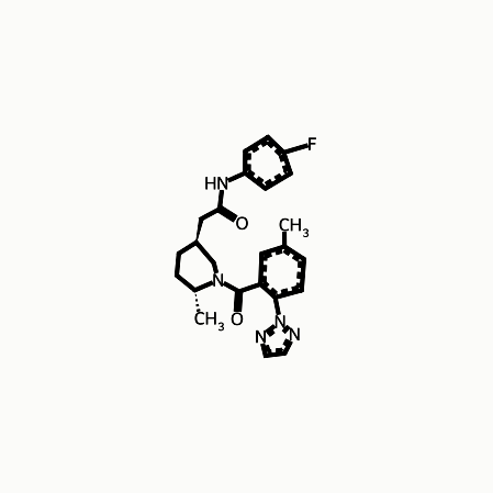 Cc1ccc(-n2nccn2)c(C(=O)N2C[C@H](CC(=O)Nc3ccc(F)cc3)CC[C@H]2C)c1